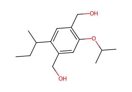 CCC(C)c1cc(CO)c(OC(C)C)cc1CO